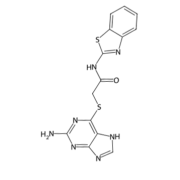 Nc1nc(SCC(=O)Nc2nc3ccccc3s2)c2[nH]cnc2n1